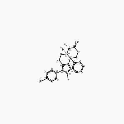 C[C@@H]1C(=O)CC[C@]2(c3ccccc3)c3nn(C)c(-c4ccc(Br)cc4)c3CC[C@@H]12